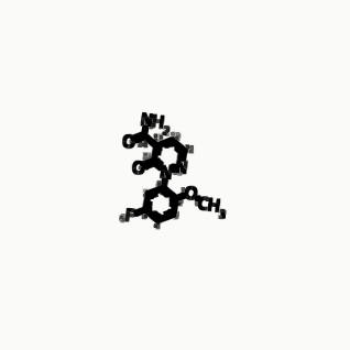 COc1ccc(F)cc1-n1nccc(C(N)=O)c1=O